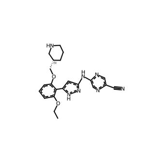 CCOc1cccc(OC[C@H]2CCCNC2)c1-c1cc(Nc2cnc(C#N)cn2)n[nH]1